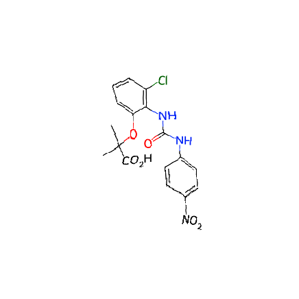 CC(C)(Oc1cccc(Cl)c1NC(=O)Nc1ccc([N+](=O)[O-])cc1)C(=O)O